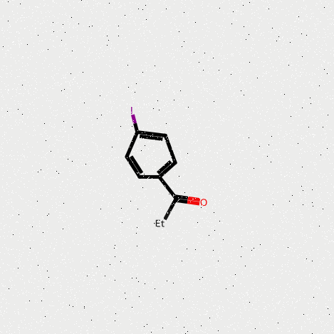 C[CH]C(=O)c1ccc(I)cc1